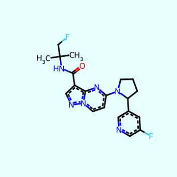 CC(C)(CF)NC(=O)c1cnn2ccc(N3CCCC3c3cncc(F)c3)nc12